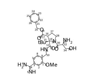 COc1cc(C(=N)N)ccc1CNC(=O)[C@]1(C(C)(C)C)C(C(=O)OCc2ccccc2)CCN1C(=O)[C@@H](N)CO